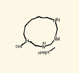 CCCCCCCC.O=NN1CCCCCNCNCNC1